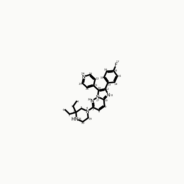 CCC1(CC)CN(c2ccc3nc(-c4ccc(F)cc4)c(-c4ccncc4)n3n2)CCN1